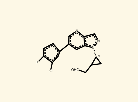 O=CCC1C[C@H]1n1ncc2ncc(-c3ccc(F)c(Cl)c3)cc21